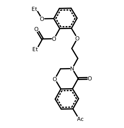 CCOc1cccc(OCCN2COc3ccc(C(C)=O)cc3C2=O)c1OC(=O)CC